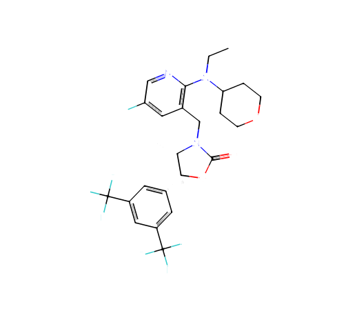 CCN(c1ncc(F)cc1CN1C(=O)O[C@H](c2cc(C(F)(F)F)cc(C(F)(F)F)c2)[C@@H]1C)C1CCOCC1